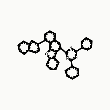 c1ccc(-c2nc(-c3ccccc3)nc(-c3cc4cccc(-c5ccc6ccccc6c5)c4c4oc5ccccc5c34)n2)cc1